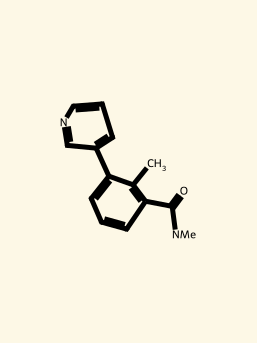 CNC(=O)c1cccc(-c2cccnc2)c1C